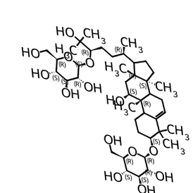 C[C@H](CC[C@@H](O[C@@H]1O[C@H](CO)[C@@H](O)[C@H](O)[C@H]1O)C(C)(C)O)C1CC[C@@]2(C)C3CC=C4C(CC[C@H](O[C@@H]5O[C@H](CO)[C@@H](O)[C@H](O)[C@H]5O)C4(C)C)[C@]3(C)[C@@H](O)C[C@]12C